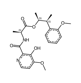 COc1ccccc1[C@H](C)[C@H](C)OC(=O)[C@H](C)NC(=O)c1nccc(OC)c1O